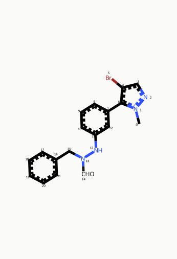 Cn1ncc(Br)c1-c1cccc(NN(C=O)Cc2ccccc2)c1